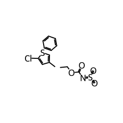 CCOC(=O)N=S(=O)=O.Cc1csc(Cl)c1.c1ccccc1